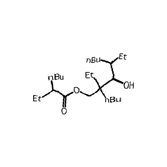 CCCCC(CC)C(=O)OCC(CC)(CCCC)C(O)C(CC)CCCC